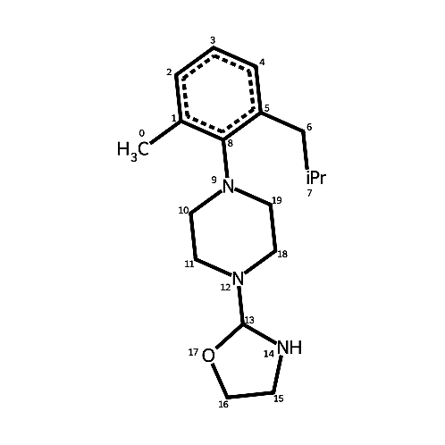 Cc1cccc(CC(C)C)c1N1CCN(C2NCCO2)CC1